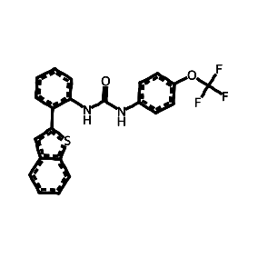 O=C(Nc1ccc(OC(F)(F)F)cc1)Nc1ccccc1-c1cc2ccccc2s1